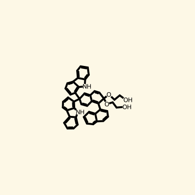 OCCOC1(OCCO)C=CC2=CC(c3cccc4c3[nH]c3ccccc34)(c3cccc4c3[nH]c3ccccc34)C=CC2=C1c1cccc2ccccc12